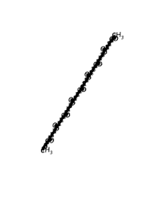 CCOCCOC(=O)CCCCCOC(=O)CCCCCOC(=O)CCCCCOC(=O)CCCCCOC(=O)CCCCCOC(=O)CCCCCOC(=O)CCCCCOC(=O)CCCCCOC(C)=O